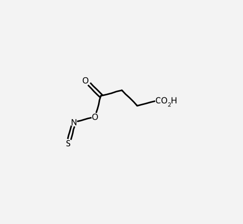 O=C(O)CCC(=O)ON=S